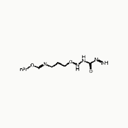 CCCOC=NCCCONNC(=O)N=N